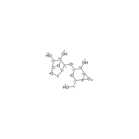 OCC1OC(OC2C3COC(O3)C(O)C2O)C(O)C2OC12